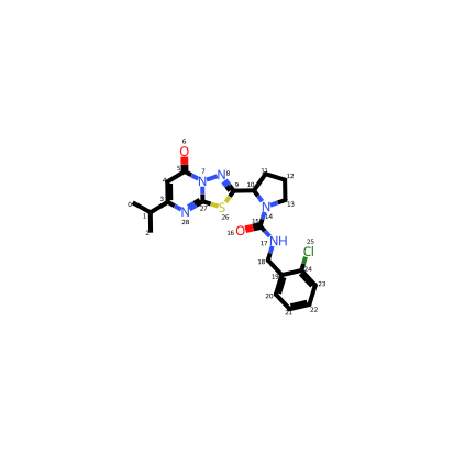 CC(C)c1cc(=O)n2nc(C3CCCN3C(=O)NCc3ccccc3Cl)sc2n1